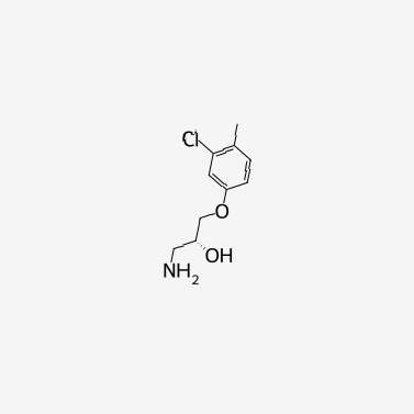 Cc1ccc(OC[C@H](O)CN)cc1Cl